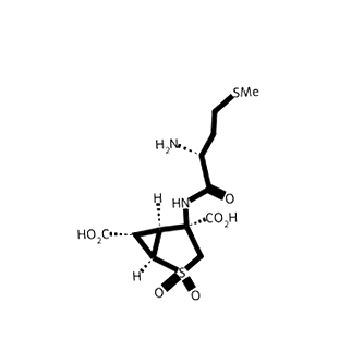 CSCC[C@@H](N)C(=O)N[C@@]1(C(=O)O)CS(=O)(=O)[C@H]2[C@H](C(=O)O)[C@H]21